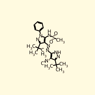 [C-]#[N+]c1c(C(C)(C)C)n[nH]c1/N=N/c1c(C(C)(C)C)nn(-c2ccccc2)c1NS(C)(=O)=O